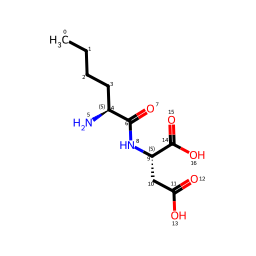 CCCC[C@H](N)C(=O)N[C@@H](CC(=O)O)C(=O)O